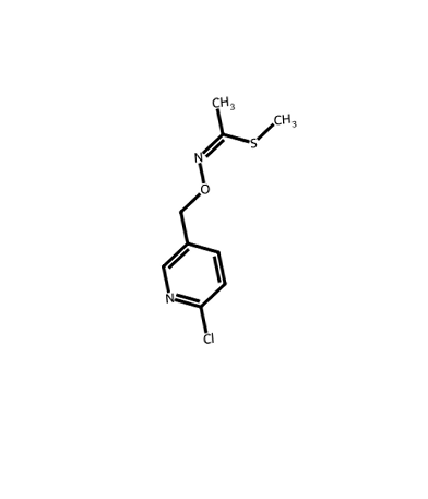 CSC(C)=NOCc1ccc(Cl)nc1